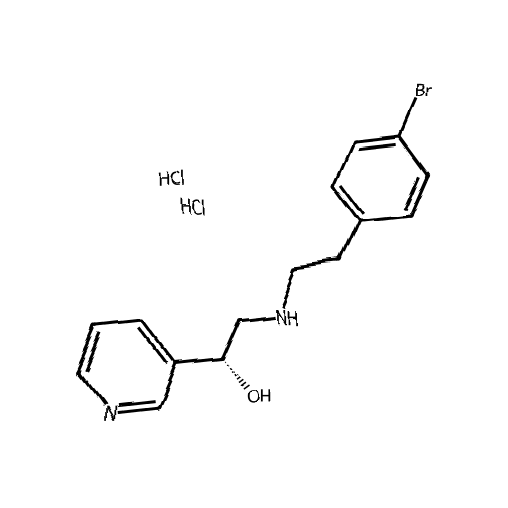 Cl.Cl.O[C@@H](CNCCc1ccc(Br)cc1)c1cccnc1